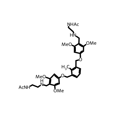 COc1cc(OCc2cccc(COc3cc(OC)c(CNCCNC(C)=O)c(OC)c3)c2C)cc(OC)c1CNCCNC(C)=O